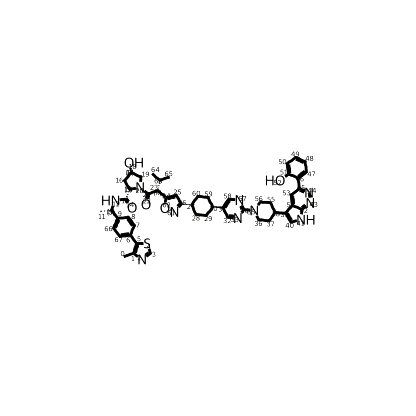 Cc1ncsc1-c1ccc([C@H](C)NC(=O)[C@@H]2C[C@@H](O)CN2C(=O)[C@@H](c2cc([C@H]3CC[C@H](c4cnc(N5CCC(c6c[nH]c7nnc(-c8ccccc8O)cc67)CC5)nc4)CC3)no2)C(C)C)cc1